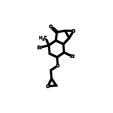 CCC1C(OCC2CO2)CC(C)(CC)C2C(=O)C3OC3C12